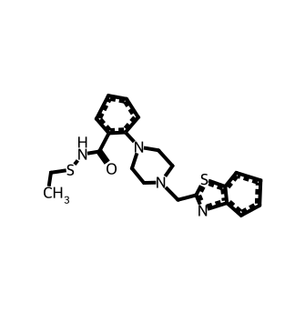 CCSNC(=O)c1ccccc1N1CCN(Cc2nc3ccccc3s2)CC1